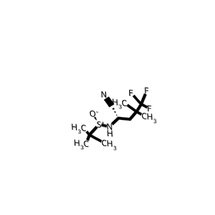 CC(C)(C)[S@+]([O-])N[C@H](C#N)CC(C)(C)C(F)(F)F